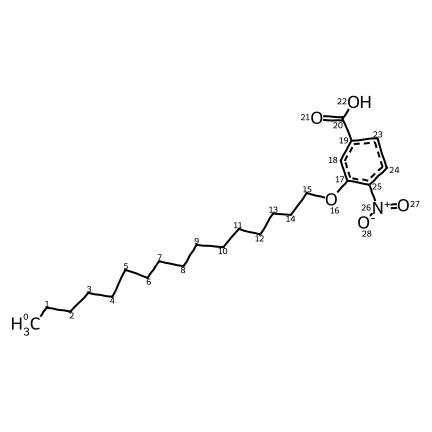 CCCCCCCCCCCCCCCCOc1cc(C(=O)O)ccc1[N+](=O)[O-]